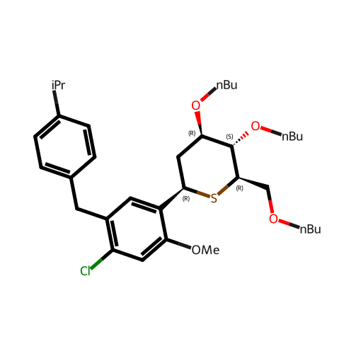 CCCCOC[C@H]1S[C@@H](c2cc(Cc3ccc(C(C)C)cc3)c(Cl)cc2OC)C[C@@H](OCCCC)[C@@H]1OCCCC